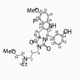 CCN(CCCN1C(=O)N2C(c3cccc(O)c3)c3[nH]c4ccc(OC)c(F)c4c3CC2(C)C1=O)CCOC